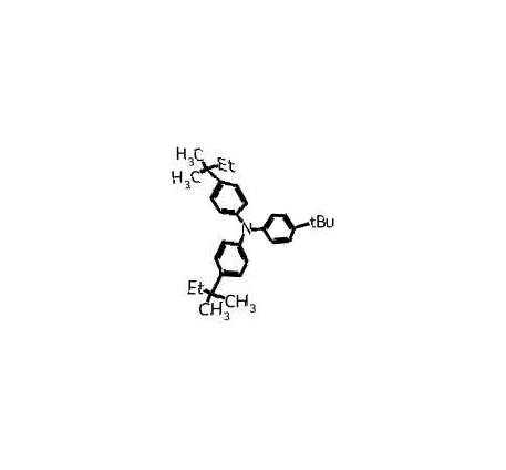 CCC(C)(C)c1ccc(N(c2ccc(C(C)(C)C)cc2)c2ccc(C(C)(C)CC)cc2)cc1